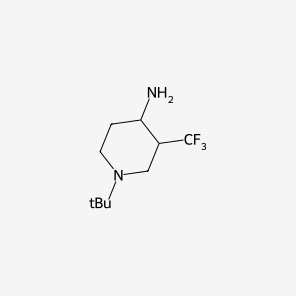 CC(C)(C)N1CCC(N)C(C(F)(F)F)C1